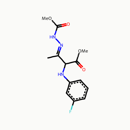 COC(=O)N/N=C(\C)C(Nc1cccc(F)c1)C(=O)OC